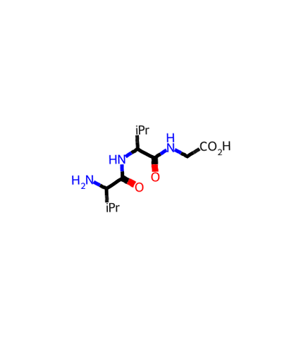 CC(C)C(N)C(=O)NC(C(=O)NCC(=O)O)C(C)C